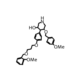 COc1ccc(COC2CNCC(O)C2c2ccc(OCCCOCc3ccccc3OC)cc2)cc1